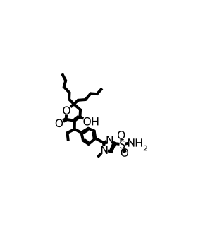 CCCCCC1(CCCCC)CC(O)=C(C(CC)c2ccc(-c3nc(S(N)(=O)=O)cn3C)cc2)C(=O)O1